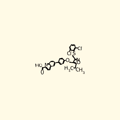 CC(C)c1onc(CSc2c(Cl)cccc2Cl)c1COc1ccc(-c2ccc3nc(C(=O)O)ccc3c2)cc1